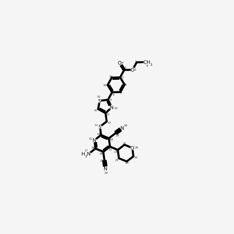 CCOC(=O)c1ccc(-c2nc(CSc3nc(N)c(C#N)c(C4CCCOC4)c3C#N)cs2)cc1